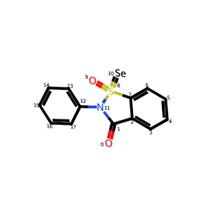 O=C1c2ccccc2S(=O)(=[Se])N1c1ccccc1